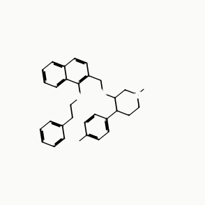 O=C(O)N1CCC(c2ccc(F)cc2)C(OCc2ccc3ccccc3c2OCCc2ccccc2)C1